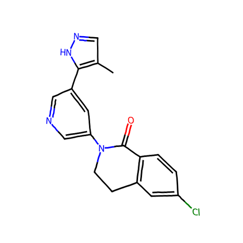 Cc1cn[nH]c1-c1cncc(N2CCc3cc(Cl)ccc3C2=O)c1